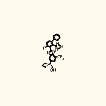 Cn1cnnc1-c1c(-c2ccccc2)ccc(F)c1-c1nc2cc([C@@H](CO)N3CCC3)cc(C(F)(F)F)c2o1